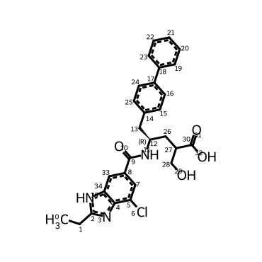 CCc1nc2c(Cl)cc(C(=O)N[C@@H](Cc3ccc(-c4ccccc4)cc3)CC(CO)C(=O)O)cc2[nH]1